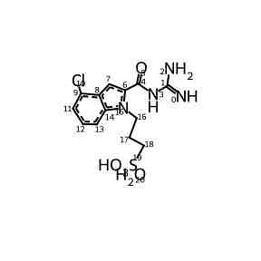 N=C(N)NC(=O)c1cc2c(Cl)cccc2n1CCCS(=O)(=O)O.O